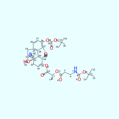 C[C@H](OC(=O)CCNC(=O)OC(C)(C)C)C(=O)OC1=CC[C@]2(O)C3Cc4ccc(OC(=O)OC(C)(C)C)c5c4[C@@]2(CCN3C)[C@H]1O5